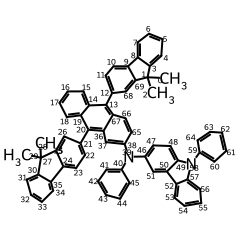 CC1(C)c2ccccc2-c2ccc(-c3c4ccccc4c(-c4ccc5c(c4)C(C)(C)c4ccccc4-5)c4cc(N(c5ccccc5)c5ccc6c(c5)c5ccccc5n6-c5ccccc5)ccc34)cc21